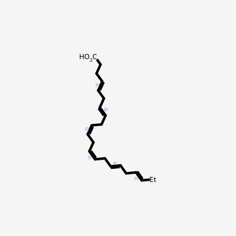 CC/C=C/C/C=C/C/C=C\C/C=C\C/C=C/C/C=C/CCC(=O)O